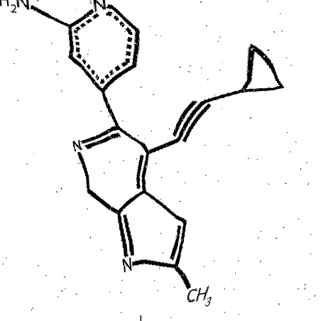 CC1=CC2=C(C#CC3CC3)C(c3ccnc(N)c3)=NCC2=N1